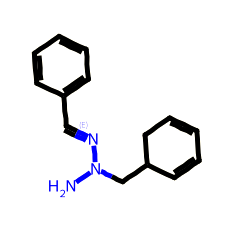 NN(CC1C=CC=CC1)/N=C/c1ccccc1